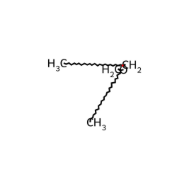 C=C(CCCCCCCCCCCCCCCCCCCCCCC)OC(=C)CCCCCCCCCCCCCCCCCCCCCCC